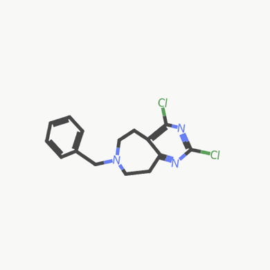 Clc1nc(Cl)c2c(n1)CCN(Cc1ccccc1)CC2